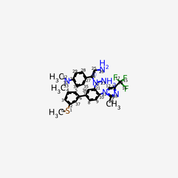 CSc1cccc(-c2ccc(-n3cc(C(F)(F)F)nc3C)c(N(N)/C(=C\N)c3ccc(N(C)C)cc3)c2)c1